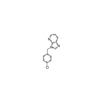 Clc1ccc(Cn2cnc3cccnc32)cc1